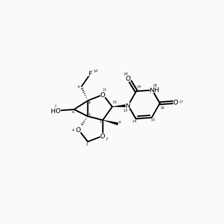 C[C@@]12OCO[C@@]13C(O)[C@@]3(CF)O[C@H]2n1ccc(=O)[nH]c1=O